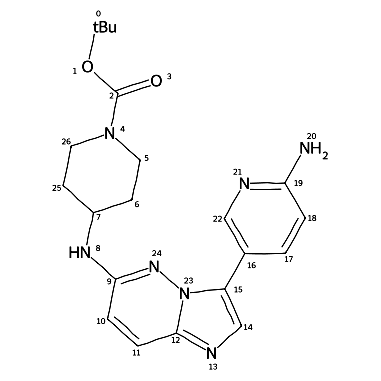 CC(C)(C)OC(=O)N1CCC(Nc2ccc3ncc(-c4ccc(N)nc4)n3n2)CC1